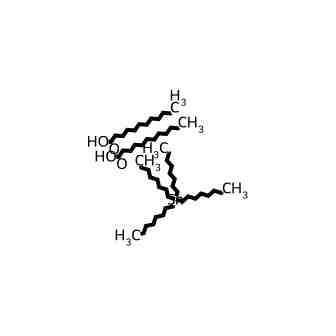 CCCCCCCCCCCC(=O)O.CCCCCCCCCCCC(=O)O.CCCCCCC[CH2][Sn]([CH2]CCCCCCC)([CH2]CCCCCCC)[CH2]CCCCCCC